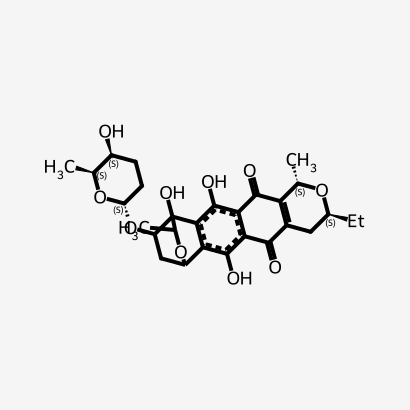 CC[C@H]1CC2=C(C(=O)c3c(O)c4c(c(O)c3C2=O)C2CC(O[C@H]3CC[C@H](O)[C@H](C)O3)C4(O)C(C)O2)[C@H](C)O1